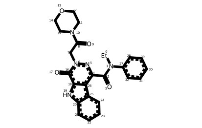 CCN(C(=O)c1nn(CC(=O)N2CCOCC2)c(=O)c2[nH]c3ccccc3c12)c1ccccc1